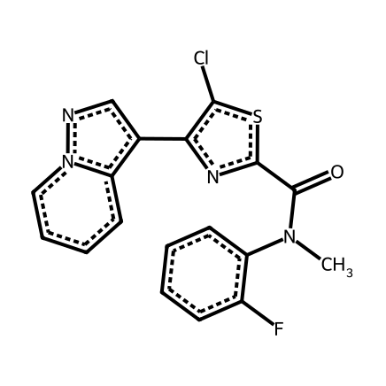 CN(C(=O)c1nc(-c2cnn3ccccc23)c(Cl)s1)c1ccccc1F